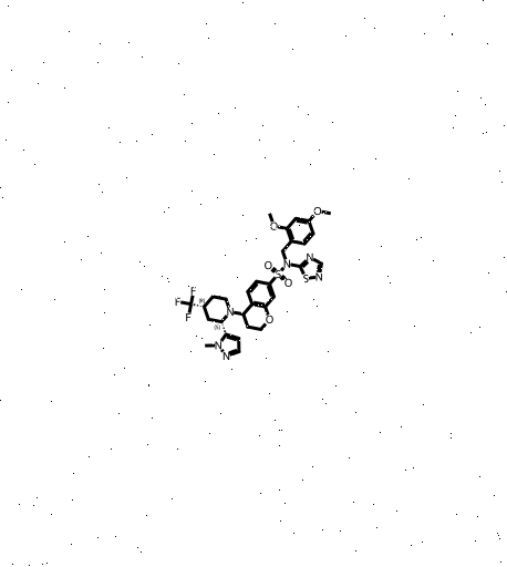 COc1ccc(CN(c2ncns2)S(=O)(=O)c2ccc3c(c2)OCCC3N2CC[C@@H](C(F)(F)F)C[C@H]2c2ccnn2C)c(OC)c1